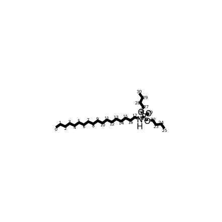 CCCCCCCCCCCCCCCCCCNP(=O)(OCCCC)OCCCC